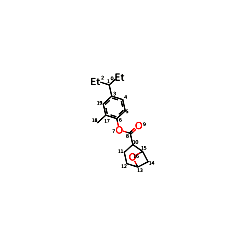 CCC(CC)c1ccc(OC(=O)C2CCC3CC2O3)c(C)c1